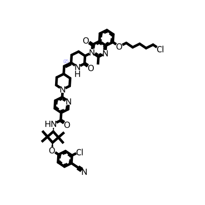 Cc1nc2c(OCCCCCCl)cccc2c(=O)n1C1CC/C(=C/C2CCN(c3ccc(C(=O)N[C@H]4C(C)(C)[C@H](Oc5ccc(C#N)c(Cl)c5)C4(C)C)cn3)CC2)NC1=O